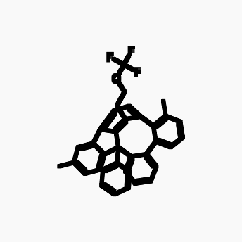 Cc1ccc2c(c1)-c1ccc3c(CCOC(F)(F)F)c1C2(c1ccccc1)c1ccccc1-c1cccc(C)c1-3